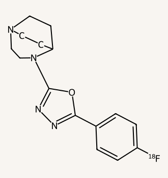 [18F]c1ccc(-c2nnc(N3CCN4CCC3CC4)o2)cc1